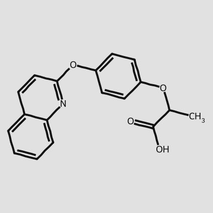 CC(Oc1ccc(Oc2ccc3ccccc3n2)cc1)C(=O)O